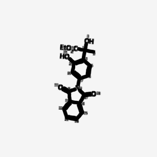 CCOC(=O)C(C)(O)c1ccc(N2C(=O)c3ccccc3C2=O)cc1O